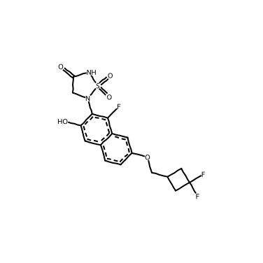 O=C1CN(c2c(O)cc3ccc(OCC4CC(F)(F)C4)cc3c2F)S(=O)(=O)N1